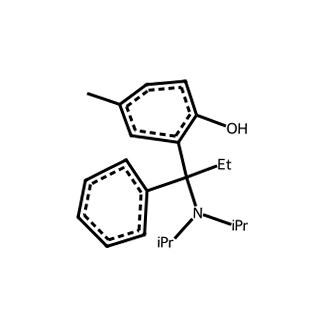 CCC(c1ccccc1)(c1cc(C)ccc1O)N(C(C)C)C(C)C